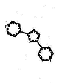 c1cc(-c2ccc(-c3ccncc3)s2)ccn1